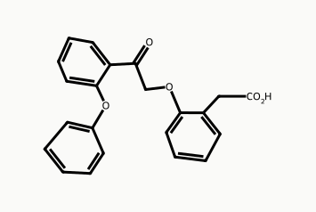 O=C(O)Cc1ccccc1OCC(=O)c1ccccc1Oc1ccccc1